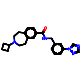 O=C(NCc1cccc(-n2cncn2)c1)c1ccc2c(c1)CCN(C1CCC1)CC2